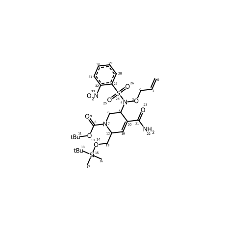 C=CCON(C1CN(C(=O)OC(C)(C)C)C(CO[Si](C)(C)C(C)(C)C)C=C1C(N)=O)S(=O)(=O)c1ccccc1[N+](=O)[O-]